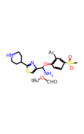 CC(=O)c1cc(S(C)(=O)=O)ccc1OC(N)c1csc(C2CCNCC2)n1.CC(C)(C)OC=O